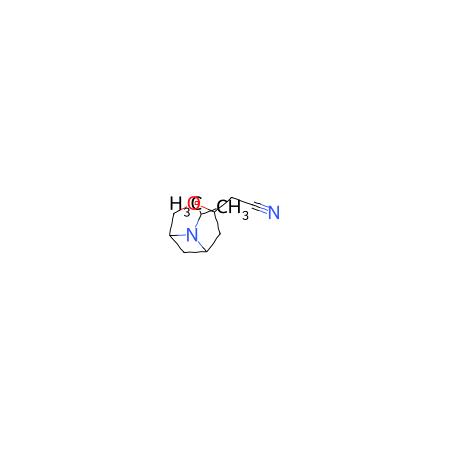 CC(C)N1C2COC(CC#N)CC1C2